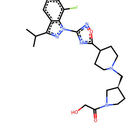 CC(C)c1nn(-c2noc(C3CCN(C[C@H]4CCN(C(=O)CO)C4)CC3)n2)c2c(F)cccc12